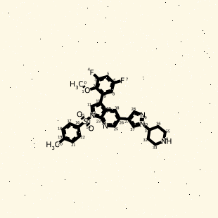 COc1c(F)cc(F)cc1-c1cn(S(=O)(=O)c2ccc(C)cc2)c2ncc(-c3cnn(C4CCNCC4)c3)cc12